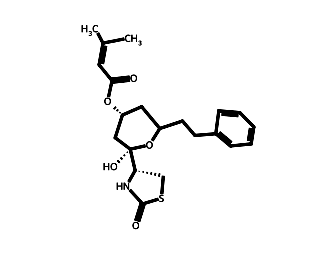 CC(C)=CC(=O)O[C@@H]1CC(CCc2ccccc2)O[C@@](O)([C@@H]2CSC(=O)N2)C1